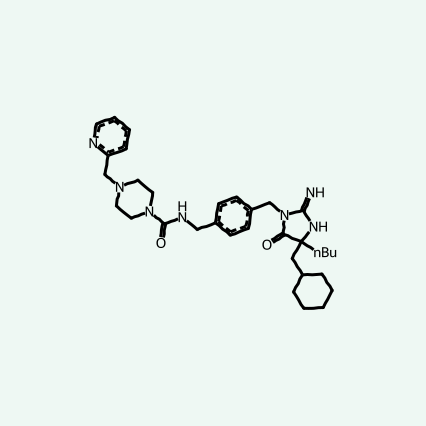 CCCCC1(CC2CCCCC2)NC(=N)N(Cc2ccc(CNC(=O)N3CCN(Cc4ccccn4)CC3)cc2)C1=O